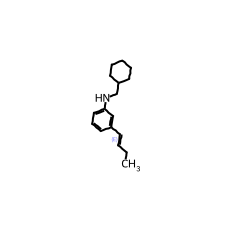 CC/C=C/c1cccc(NCC2CCCCC2)c1